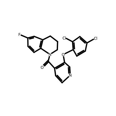 O=C(c1ccncc1Oc1ccc(Cl)cc1Cl)N1CCCc2cc(F)ccc21